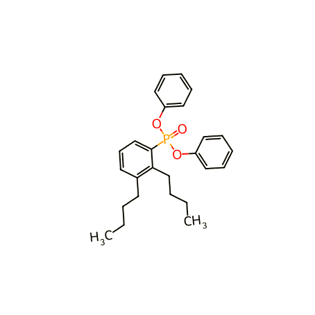 CCCCc1cccc(P(=O)(Oc2ccccc2)Oc2ccccc2)c1CCCC